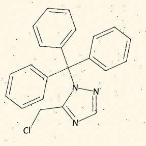 ClCc1ncnn1C(c1ccccc1)(c1ccccc1)c1ccccc1